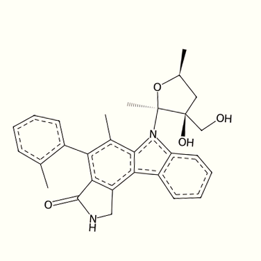 Cc1ccccc1-c1c2c(c3c4ccccc4n([C@@]4(C)O[C@@H](C)C[C@]4(O)CO)c3c1C)CNC2=O